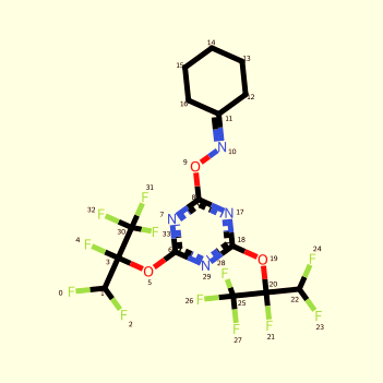 FC(F)C(F)(Oc1nc(ON=C2CCCCC2)nc(OC(F)(C(F)F)C(F)(F)F)n1)C(F)(F)F